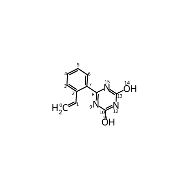 C=Cc1ccccc1-c1nc(O)nc(O)n1